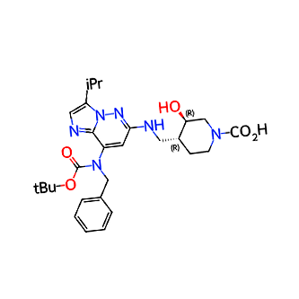 CC(C)c1cnc2c(N(Cc3ccccc3)C(=O)OC(C)(C)C)cc(NC[C@H]3CCN(C(=O)O)C[C@@H]3O)nn12